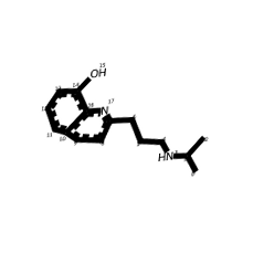 CC(C)NCCCc1ccc2cccc(O)c2n1